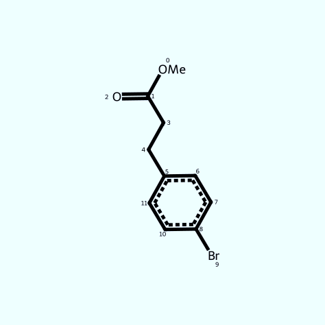 COC(=O)[CH]Cc1ccc(Br)cc1